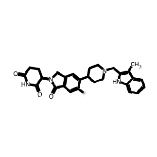 Cc1c(CN2CCC(c3cc4c(cc3F)C(=O)N(C3CCC(=O)NC3=O)C4)CC2)[nH]c2ccccc12